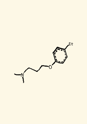 CCc1ccc(OCCCN(C)C)cc1